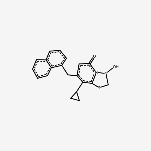 O=c1cc(Cc2cccc3ccccc23)c(C2CC2)c2n1N(O)CS2